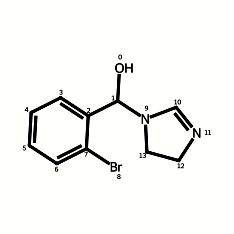 OC(c1ccccc1Br)N1C=NCC1